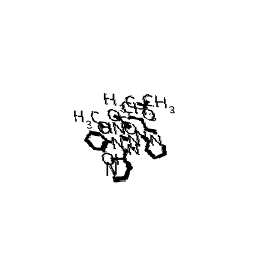 COc1cccc(O)c1-n1c(NS(=O)(=O)[C@H](C)[C@H](OC(C)C)c2cn3ccccc3n2)nnc1C1=C=C=CN=C1